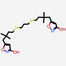 CC(C)(CCSCCCSCCC(C)(C)Cc1cc(O)no1)Cc1cc(O)no1